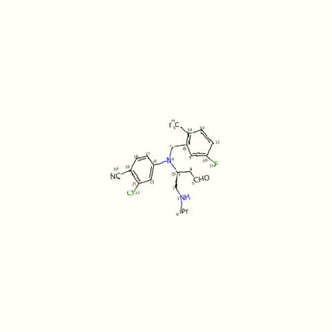 CC(C)NC[C@H](CC=O)N(Cc1cc(F)ccc1C(F)(F)F)c1ccc(C#N)c(Cl)c1